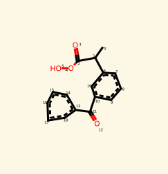 CC(C(=O)OO)c1cccc(C(=O)c2ccccc2)c1